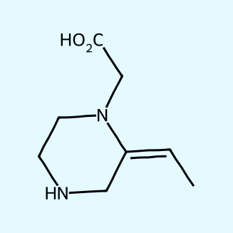 CC=C1CNCCN1CC(=O)O